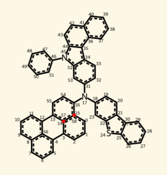 c1ccc(-c2cccc3cccc(-c4ccc(N(c5ccc6c(c5)sc5ccccc56)c5ccc6c7c8ccccc8ccc7n(-c7ccccc7)c6c5)cc4)c23)cc1